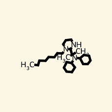 CCCCCCCCN1CCCNC1C(C)(C)N(C1CCCCC1)C1CCCCC1